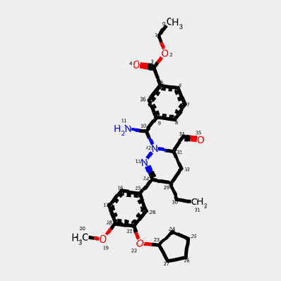 CCOC(=O)c1cccc(C(N)N2N=C(c3ccc(OC)c(OC4CCCC4)c3)C(CC)CC2C=O)c1